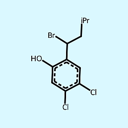 CC(C)CC(Br)c1cc(Cl)c(Cl)cc1O